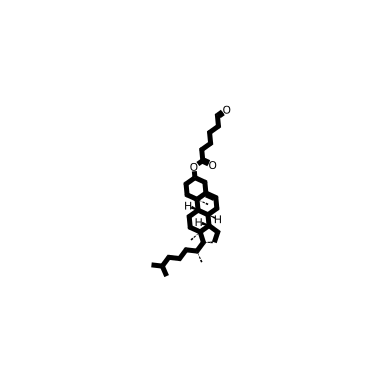 CC(C)CCC[C@@H](C)[C@H]1CC[C@H]2[C@@H]3CC=C4CC(OC(=O)CCCCC=O)CC[C@]4(C)[C@H]3CC[C@]12C